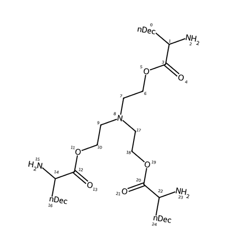 CCCCCCCCCCC(N)C(=O)OCCN(CCOC(=O)C(N)CCCCCCCCCC)CCOC(=O)C(N)CCCCCCCCCC